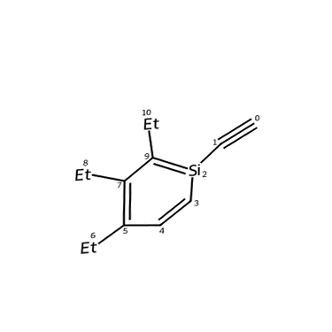 C#C[si]1ccc(CC)c(CC)c1CC